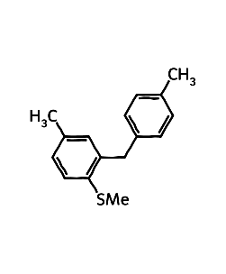 CSc1ccc(C)cc1Cc1ccc(C)cc1